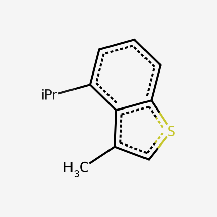 Cc1csc2cccc(C(C)C)c12